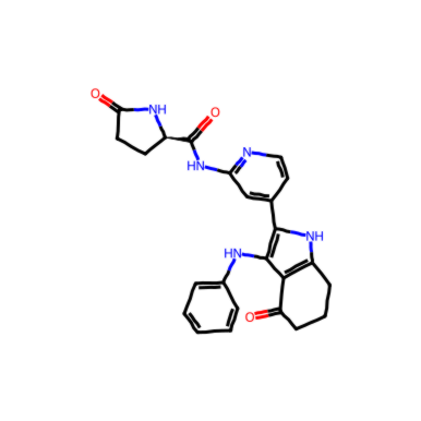 O=C1CC[C@H](C(=O)Nc2cc(-c3[nH]c4c(c3Nc3ccccc3)C(=O)CCC4)ccn2)N1